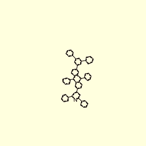 c1ccc(-c2cc(-c3ccccc3)cc(-c3ccc4c(-c5ccccc5)c5cc(-c6cc(-c7ccccc7)nc(-c7ccccc7)c6)ccc5c(-c5ccccc5)c4c3)c2)cc1